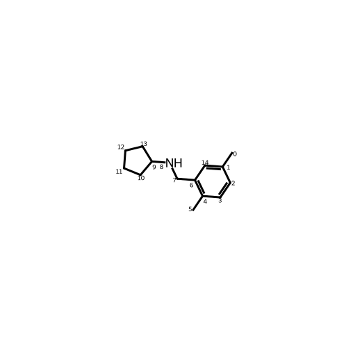 Cc1ccc(C)c(CNC2CCCC2)c1